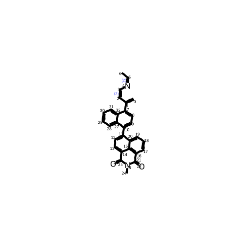 C=C(/C=C\N=C/C)c1ccc(-c2ccc3c4c(cccc24)C(=O)N(C)C3=O)c2ccccc12